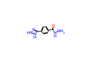 NNC(=O)c1ccc(-c2n[nH][nH]2)cc1